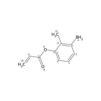 Bc1cccc(OC(=O)C=C)c1C